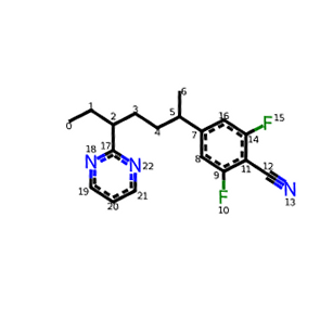 CCC(CCC(C)c1cc(F)c(C#N)c(F)c1)c1ncccn1